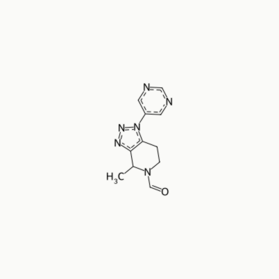 CC1c2nnn(-c3cncnc3)c2CCN1C=O